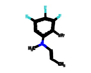 CC=CN(C)c1cc(F)c(F)c(F)c1CCC